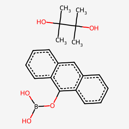 CC(C)(O)C(C)(C)O.OB(O)Oc1c2ccccc2cc2ccccc12